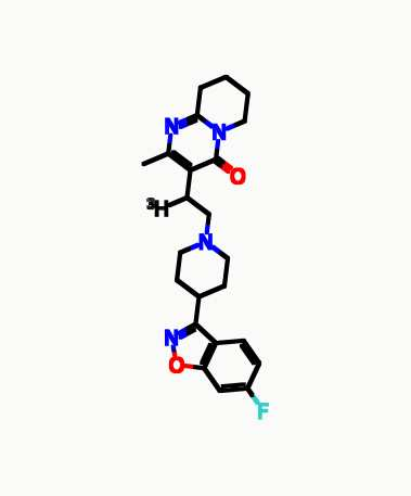 [3H]C(CN1CCC(c2noc3cc(F)ccc23)CC1)c1c(C)nc2n(c1=O)CCCC2